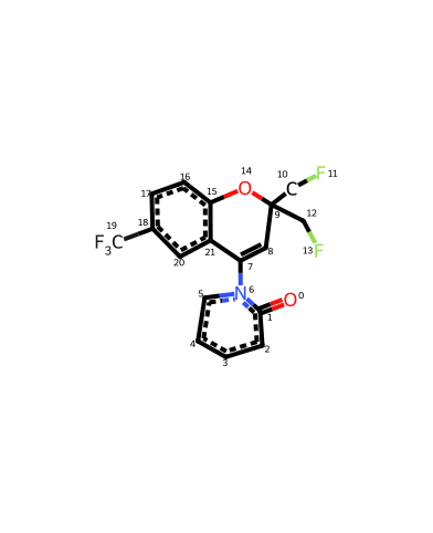 O=c1ccccn1C1=CC(CF)(CF)Oc2ccc(C(F)(F)F)cc21